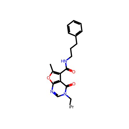 Cc1oc2ncn(CC(C)C)c(=O)c2c1C(=O)NCCCc1ccccc1